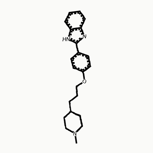 CN1CCC(CCCOc2ccc(-c3nc4ccccc4[nH]3)cc2)CC1